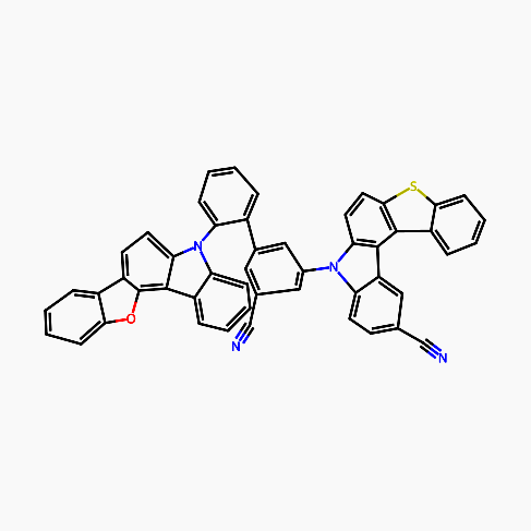 N#Cc1cc(-c2ccccc2-n2c3ccccc3c3c4oc5ccccc5c4ccc32)cc(-n2c3ccc(C#N)cc3c3c4c(ccc32)sc2ccccc24)c1